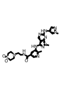 Cc1ncc(C(=O)NCCN2CCS(=O)(=O)CC2)cc1Nc1nn(C)c2nc(Nc3cnn(C)c3)ncc12